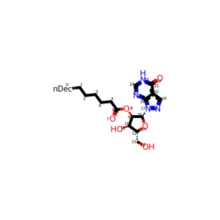 CCCCCCCCCCCCCCCC(=O)O[C@@H]1[C@H](O)[C@@H](CO)O[C@H]1n1ncc2c(=O)[nH]cnc21